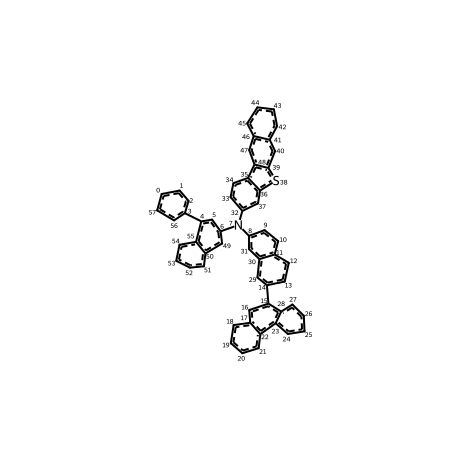 c1ccc(-c2cc(N(c3ccc4ccc(-c5cc6ccccc6c6ccccc56)cc4c3)c3ccc4c(c3)sc3cc5ccccc5cc34)cc3ccccc23)cc1